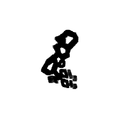 CCC(C)(C)c1cccc2c1oc1cc3ccccc3cc12